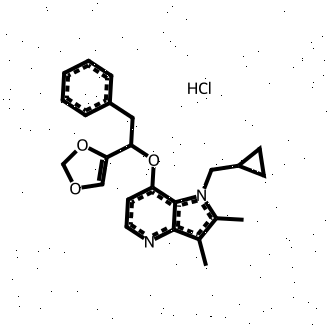 Cc1c(C)n(CC2CC2)c2c(OC(Cc3ccccc3)C3=COCO3)ccnc12.Cl